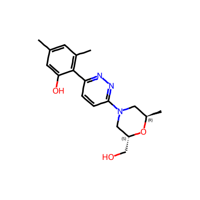 Cc1cc(C)c(-c2ccc(N3C[C@@H](CO)O[C@H](C)C3)nn2)c(O)c1